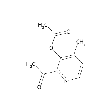 CC(=O)Oc1c(C)ccnc1C(C)=O